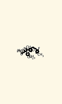 Cc1ccc(CC2CCc3cc(-c4c(C)nc(C)c(CC(=O)OC(C)C)c4N4CCC(C)(C)CC4)ccc3O2)c(F)c1